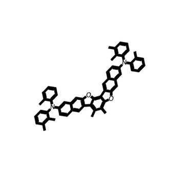 Cc1ccccc1N(c1ccc2cc3c(cc2c1)oc1c3c(C)c(C)c2oc3cc4cc(N(c5ccccc5C)c5cccc(C)c5C)ccc4cc3c21)c1cccc(C)c1C